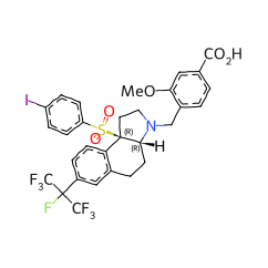 COc1cc(C(=O)O)ccc1CN1CC[C@@]2(S(=O)(=O)c3ccc(I)cc3)c3ccc(C(F)(C(F)(F)F)C(F)(F)F)cc3CC[C@@H]12